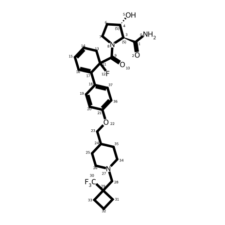 NC(=O)[C@@H]1[C@@H](O)CCN1C(=O)C1(F)CC=CC=C1c1ccc(OCC2CCN(CC3(C(F)(F)F)CCC3)CC2)cc1